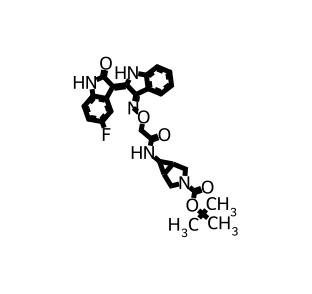 CC(C)(C)OC(=O)N1CC2C(C1)C2NC(=O)CO/N=C1/C(=C2/C(=O)Nc3ccc(F)cc32)Nc2ccccc21